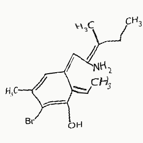 C/C=c1/c(O)c(Br)c(C)c/c1=C/C(N)=C(\C)CC